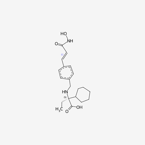 CC[C@@](NCc1ccc(/C=C/C(=O)NO)cc1)(C(=O)O)C1CCCCC1